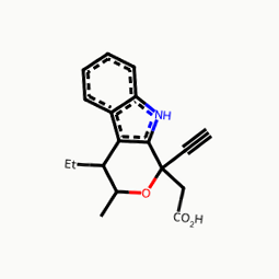 C#CC1(CC(=O)O)OC(C)C(CC)c2c1[nH]c1ccccc21